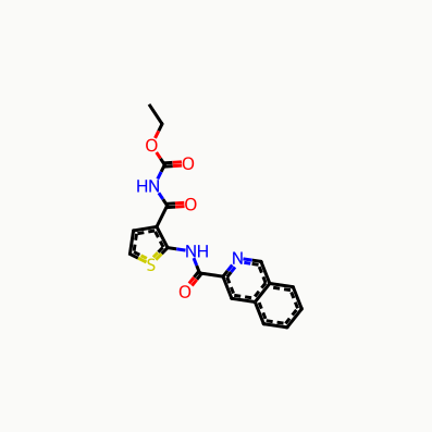 CCOC(=O)NC(=O)c1ccsc1NC(=O)c1cc2ccccc2cn1